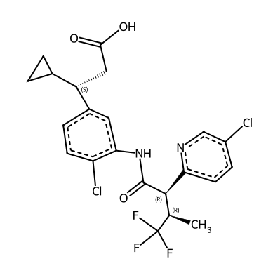 C[C@H]([C@@H](C(=O)Nc1cc([C@@H](CC(=O)O)C2CC2)ccc1Cl)c1ccc(Cl)cn1)C(F)(F)F